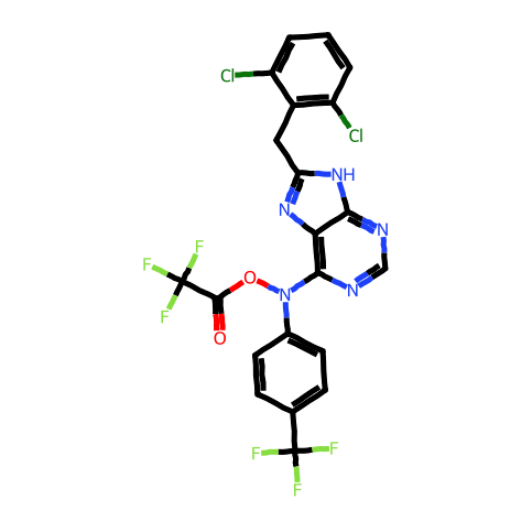 O=C(ON(c1ccc(C(F)(F)F)cc1)c1ncnc2[nH]c(Cc3c(Cl)cccc3Cl)nc12)C(F)(F)F